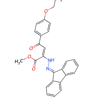 CCOc1ccc(C(=O)C=C(NN=C2c3ccccc3-c3ccccc32)C(=O)OC)cc1